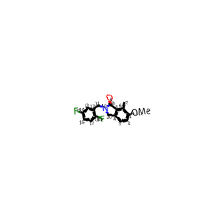 COc1ccc2c(c1C)C(=O)N(Cc1cc(F)ccc1F)C2